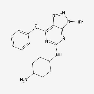 CC(C)n1nnc2c(Nc3ccccc3)nc(NC3CCC(N)CC3)nc21